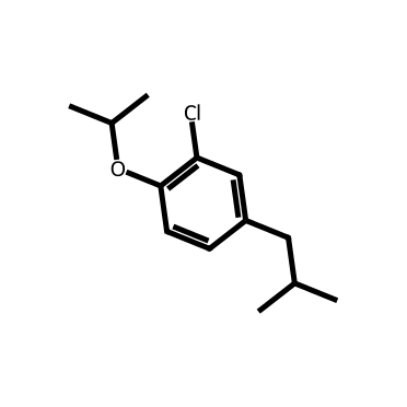 CC(C)Cc1ccc(OC(C)C)c(Cl)c1